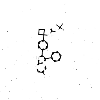 CC(C)(C)OC(=O)NC1(c2ccc(-c3nc4ncc(Cl)cn4c3-c3ccccc3)cc2)CCC1